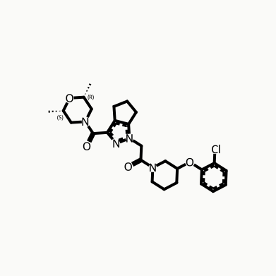 C[C@@H]1CN(C(=O)c2nn(CC(=O)N3CCCC(Oc4ccccc4Cl)C3)c3c2CCC3)C[C@H](C)O1